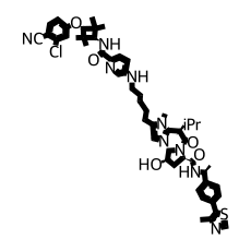 Cc1ncsc1-c1ccc([C@H](C)NC(=O)[C@@H]2C[C@@H](O)CN2C(=O)[C@@H](c2ncc(CCCCCNc3ccc(C(=O)N[C@H]4C(C)(C)[C@H](Oc5ccc(C#N)c(Cl)c5)C4(C)C)nc3)n2C)C(C)C)cc1